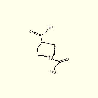 NC(=O)C1CCN(C(=O)O)C1